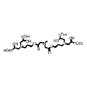 CCCCCCCCCCC(O)CN(CCCOC(=O)CN(C)CC(=O)OCCCN(CC(O)CCCCCCCCCC)CC(O)CCCCCCCCCC)CC(O)CCCCCCCCCC